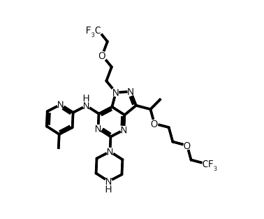 Cc1ccnc(Nc2nc(N3CCNCC3)nc3c(C(C)OCCOCC(F)(F)F)nn(CCOCC(F)(F)F)c23)c1